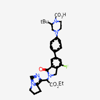 CCOC(=O)C(c1ncn2c1CCC2)N1Cc2c(F)cc(-c3ccc(N4CCN(C(=O)O)C(C(C)(C)C)C4)cc3)cc2C1=O